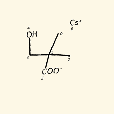 CC(C)(CO)C(=O)[O-].[Cs+]